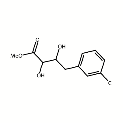 COC(=O)C(O)C(O)Cc1cccc(Cl)c1